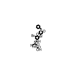 N#CC(=NNc1cc(Br)c(Oc2ccc(=O)n(Cc3ccccc3)c2)c(Br)c1)C(=O)NC(=O)O